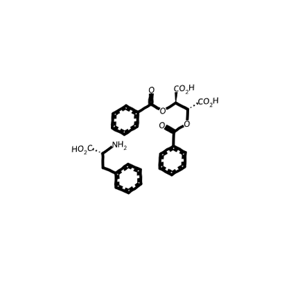 N[C@H](Cc1ccccc1)C(=O)O.O=C(O[C@@H](C(=O)O)[C@@H](OC(=O)c1ccccc1)C(=O)O)c1ccccc1